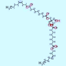 CCCC/C=C\CCOC(=O)CCCCCCCC(=O)OCC(CO)(CO)COC(=O)CCCCCCCC(=O)OCC/C=C\CCCC